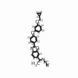 CC(N=[N+]=[N-])c1ccc2nc(-c3ccc(Oc4cccc(OCC5CC5)c4)cc3)oc2c1